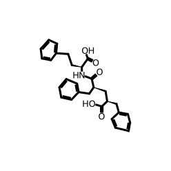 O=C(O)[C@H](Cc1ccccc1)C[C@@H](Cc1ccccc1)C(=O)N[C@@H](CCc1ccccc1)C(=O)O